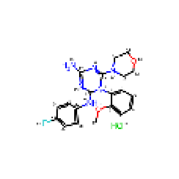 COc1ccccc1N1C(N2CCOCC2)=NC(N)=NC1Nc1ccc(F)cc1.Cl